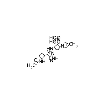 C=CC(=O)Nc1cccc(-c2nc(Nc3ccc(N4CCN(C)CC4)c(OP(=O)(O)O)c3)nc3[nH]ncc23)c1